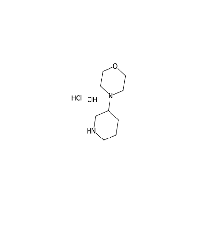 C1CNCC(N2CCOCC2)C1.Cl.Cl